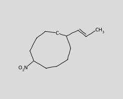 CC=CC1CCCCC([N+](=O)[O-])CCCC1